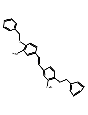 COc1cc(/C=C/c2ccc(OCc3ccccc3)c(OC)c2)ccc1OCc1ccccc1